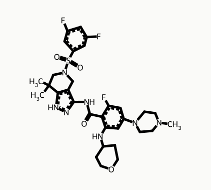 CN1CCN(c2cc(F)c(C(=O)Nc3n[nH]c4c3CN(S(=O)(=O)c3cc(F)cc(F)c3)CC4(C)C)c(NC3CCOCC3)c2)CC1